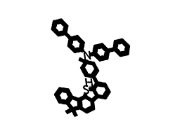 CC1(C)C2=C(c3ccccc31)C1S[C@@H]3C(C4=CCC(C)(N(c5ccc(-c6ccccc6)cc5)c5ccc(-c6ccccc6)cc5)C=C4)=CC=CC3C1C=C2